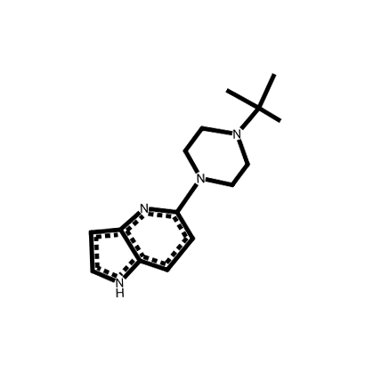 CC(C)(C)N1CCN(c2ccc3[nH]ccc3n2)CC1